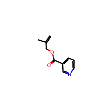 C=C(C)COC(=O)c1cccnc1